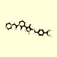 Cc1c(C2CCCN(C(=O)CN3CCOCC3)C2=O)n[nH]c1OCc1ccc(C(=N)N)cc1